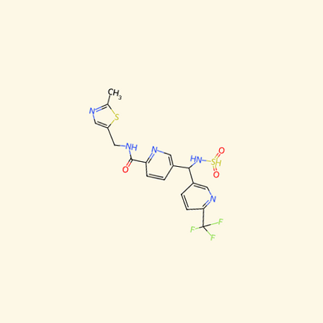 Cc1ncc(CNC(=O)c2ccc(C(N[SH](=O)=O)c3ccc(C(F)(F)F)nc3)cn2)s1